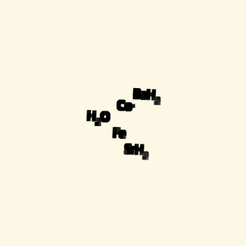 O.[BaH2].[Co].[Fe].[SrH2]